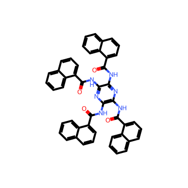 O=C(Nc1nc(NC(=O)c2cccc3ccccc23)c(NC(=O)c2cccc3ccccc23)nc1NC(=O)c1cccc2ccccc12)c1cccc2ccccc12